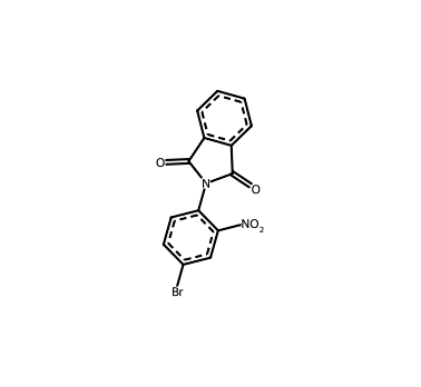 O=C1c2ccccc2C(=O)N1c1ccc(Br)cc1[N+](=O)[O-]